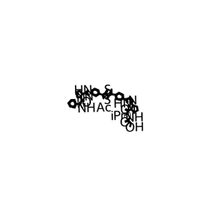 CC(=O)N[C@@H](C(=O)N1CCCC1c1nc2cc(-c3csc4c(-c5ccc(-c6cnc(C7CCCN7C(=O)[C@@H](NC(=O)CO)C(C)C)[nH]6)cc5)csc34)ccc2[nH]1)c1ccccc1